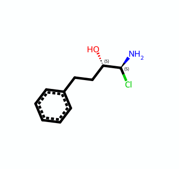 N[C@@H](Cl)[C@@H](O)CCc1ccccc1